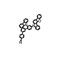 N#Cc1ccc(-c2cccc(-c3ccc(-n4c5ccccc5c5c6oc7ccccc7c6ccc54)cc3-n3c4ccccc4c4ccccc43)c2)cc1